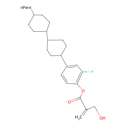 C=C(CO)C(=O)Oc1ccc(C2CCC(C3CCC(CCCCC)CC3)CC2)cc1F